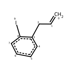 C=CCc1ccccc1I